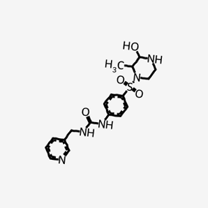 CC1C(O)NCCN1S(=O)(=O)c1ccc(NC(=O)NCc2cccnc2)cc1